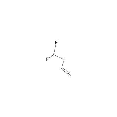 FC(F)C[C]=S